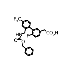 O=C(O)Cc1ccc(F)c(-c2ccc(C(F)(F)F)cc2CNC(=O)OCc2ccccc2)c1